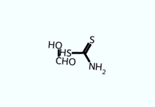 NC(=S)S.O=CO